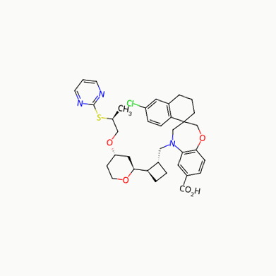 C[C@@H](CO[C@H]1CCO[C@H]([C@@H]2CC[C@H]2CN2CC3(CCCc4cc(Cl)ccc43)COc3ccc(C(=O)O)cc32)C1)Sc1ncccn1